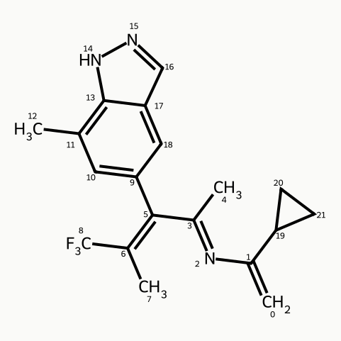 C=C(/N=C(C)/C(=C(\C)C(F)(F)F)c1cc(C)c2[nH]ncc2c1)C1CC1